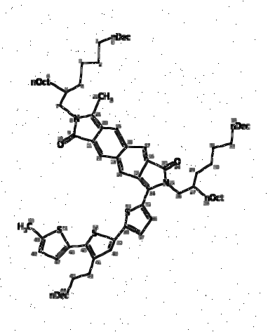 CCCCCCCCCCCCCCC(CCCCCCCC)CN1C(=O)c2cc3cc4c(cc3cc2=C1C)C(=O)N(CC(CCCCCCCC)CCCCCCCCCCCCCC)C=4c1ccc(-c2cc(CCCCCCCCCCCC)c(-c3ccc(C)s3)s2)s1